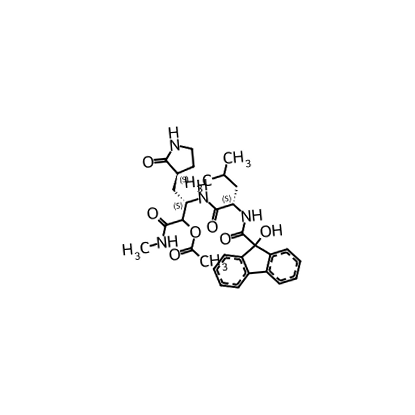 CNC(=O)C(OC(C)=O)[C@H](C[C@@H]1CCNC1=O)NC(=O)[C@H](CC(C)C)NC(=O)C1(O)c2ccccc2-c2ccccc21